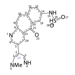 CN/C=C(\C=N)c1cnc2ccc3ccc(N[SH](=O)=O)cc3c(=O)c2c1